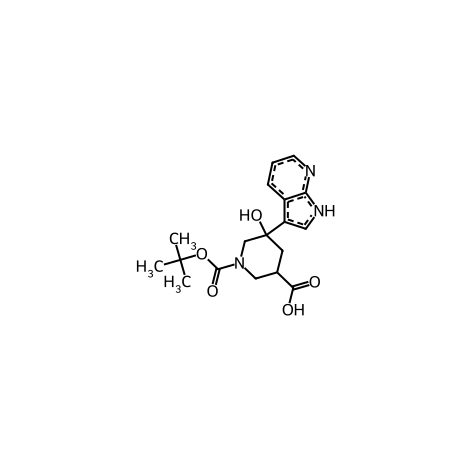 CC(C)(C)OC(=O)N1CC(C(=O)O)CC(O)(c2c[nH]c3ncccc23)C1